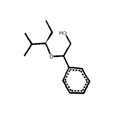 CC[C@@H](OC(CO)c1ccccc1)C(C)C